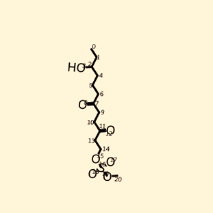 CCC(O)CCCC(=O)CCC(=O)CCOS(=O)(=O)OC